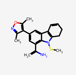 C=C(N)c1cc(-c2c(C)noc2C)cc2c3c(n(SC)c12)CCC=C3